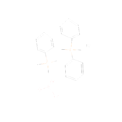 C[P+](C)(C)c1ccccc1.C[P+](C)(c1ccccc1)c1ccccc1.[H+].[O-]B([O-])[O-]